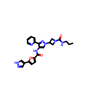 CCCNC(=O)N1CC(n2cc(NC(=O)c3ccc(-c4cn[nH]c4)o3)c(-c3ccccn3)n2)C1